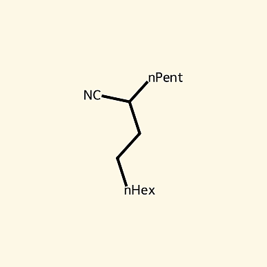 [CH2]CCCCC(C#N)CCCCCCCC